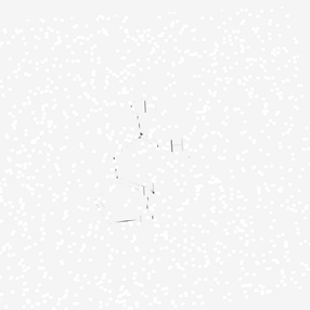 C=C(C)Cc1ccon1